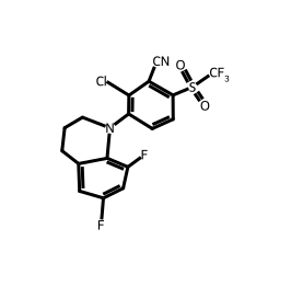 N#Cc1c(S(=O)(=O)C(F)(F)F)ccc(N2CCCc3cc(F)cc(F)c32)c1Cl